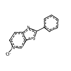 [O-][n+]1ccc2nc(-c3ccccc3)sc2c1